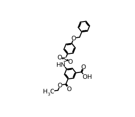 CCOC(=O)c1cc(NS(=O)(=O)c2ccc(OCc3ccccc3)cc2)cc(C(=O)O)c1